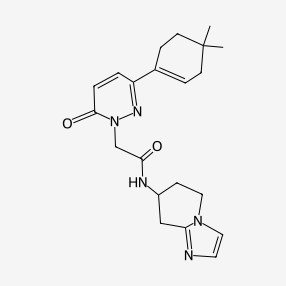 CC1(C)CC=C(c2ccc(=O)n(CC(=O)NC3CCn4ccnc4C3)n2)CC1